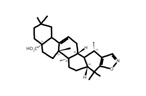 C[C@@H]1c2cnoc2C(C)(C)[C@@H]2CC[C@]3(C)[C@H](CC=C4C5CC(C)(C)CC[C@]5(C(=O)O)CC[C@]43C)C12